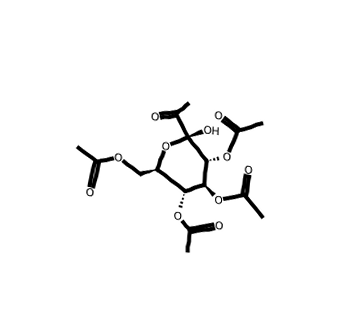 CC(=O)OC[C@H]1O[C@](O)(C(C)=O)[C@H](OC(C)=O)[C@@H](OC(C)=O)[C@@H]1OC(C)=O